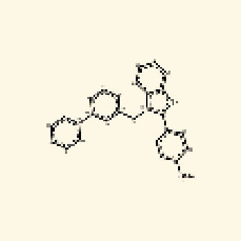 COc1ccc(-c2nc3ccccc3n2Cc2cccc(-c3ccccc3)c2)cc1